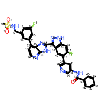 CS(=O)(=O)NCc1cc(F)cc(-c2ccnc3[nH]c(-c4n[nH]c5cc(F)c(-c6cncc(NC(=O)c7ccccc7)c6)cc45)nc23)c1